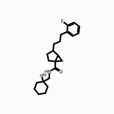 CCCC1(CNC(=O)C23CCC(CCCc4ccccc4F)C2C3)CCCCC1